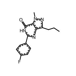 CCCc1nn(C)c2c(=O)[nH]c(-c3ccc(F)cc3)nc12